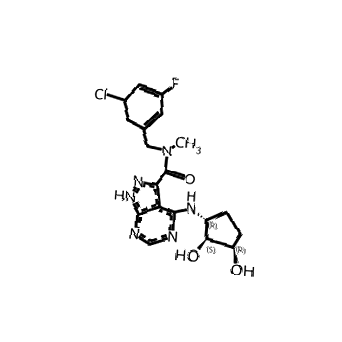 CN(CC1=CC(F)=CC(Cl)C1)C(=O)c1n[nH]c2ncnc(N[C@@H]3CC[C@@H](O)[C@H]3O)c12